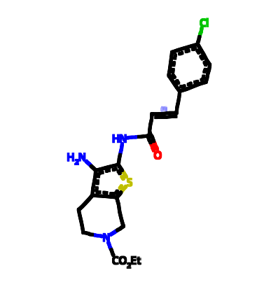 CCOC(=O)N1CCc2c(sc(NC(=O)/C=C/c3ccc(Cl)cc3)c2N)C1